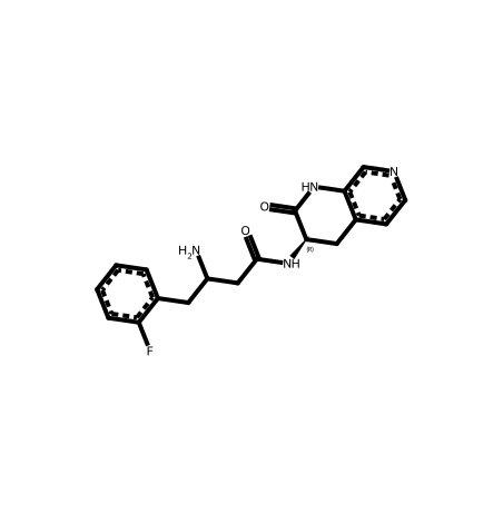 NC(CC(=O)N[C@@H]1Cc2ccncc2NC1=O)Cc1ccccc1F